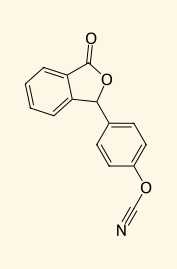 N#COc1ccc(C2OC(=O)c3ccccc32)cc1